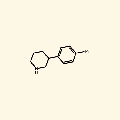 CC(C)c1ccc(C2CCCNC2)cc1